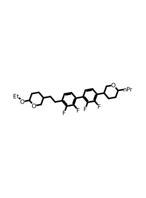 CCCC1CCC(c2ccc(-c3ccc(CCC4CCC(OCC)OC4)c(F)c3F)c(F)c2F)CO1